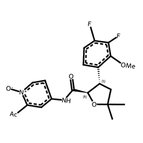 COc1c([C@@H]2CC(C)(C)O[C@H]2C(=O)Nc2cc[n+]([O-])c(C(C)=O)c2)ccc(F)c1F